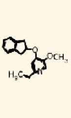 CCc1cc(OC2Cc3ccccc3C2)c(OC)cn1